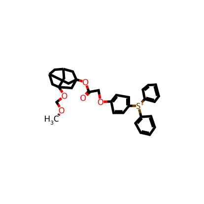 COCOC12CC3CC(C1)CC(OC(=O)COc1ccc([S+](c4ccccc4)c4ccccc4)cc1)(C3)C2